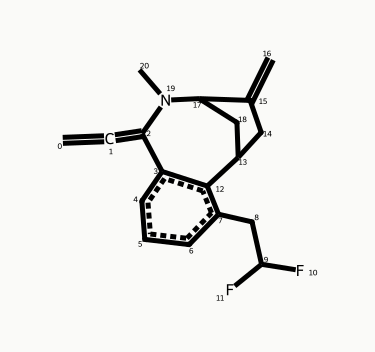 C=C=C1c2cccc(CC(F)F)c2C2CC(=C)C(C2)N1C